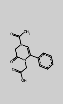 CC(=O)N1C=C(c2ccccc2)N(CC(=O)O)C(=O)C1